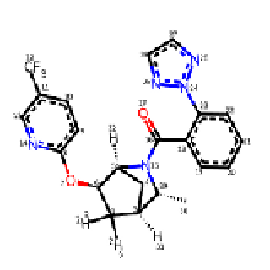 [2H]C1([2H])[C@H]2C[C@@H]([C@@H]1Oc1ccc(C(F)(F)F)cn1)N(C(=O)c1ccccc1-n1nccn1)[C@@H]2C